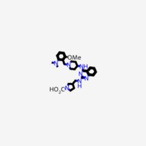 COc1cccc(N(C)C)c1CN1CCC(Nc2nc(NCC3CCN(C(=O)O)C3)nc3ccccc23)CC1